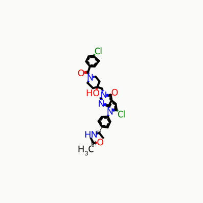 C[C@H]1CN[C@H](c2ccc(-n3c(Cl)cc4c(=O)n(CC5(O)CCN(C(=O)c6ccc(Cl)cc6)CC5)cnc43)cc2)CO1